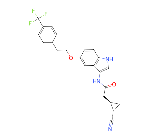 N#C[C@H]1C[C@@H]1CC(=O)Nc1c[nH]c2ccc(OCCc3ccc(C(F)(F)F)cc3)cc12